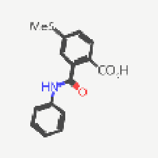 CSc1ccc(C(=O)O)c(C(=O)Nc2ccccc2)c1